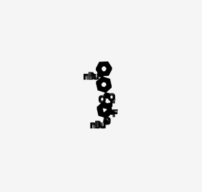 CCCCOc1ccc(OC(=O)[C@H]2CC[C@H](C3(CCCC)CCCCC3)CC2)c(F)c1F